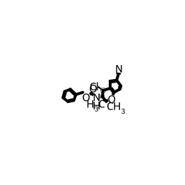 CC1(C)Oc2ccc(C#N)cc2[C@H](Cl)[C@H]1NC(=O)OCc1ccccc1